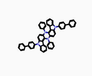 c1ccc(-c2ccc(-n3c4ccccc4c4c5c(ccc43)N(c3ccccc3)c3c(ccc4c3c3ccccc3n4-c3ccc(-c4ccccc4)cc3)N5c3ccccc3)cc2)cc1